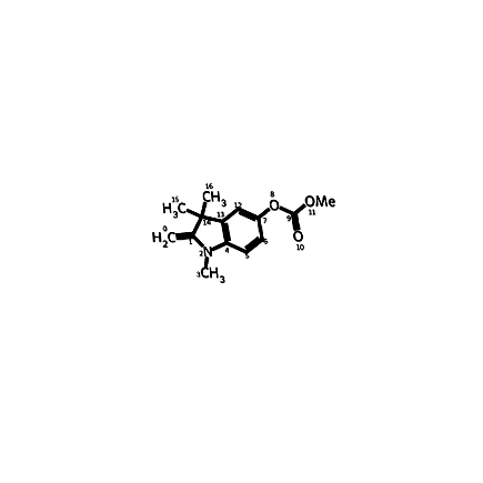 C=C1N(C)c2ccc(OC(=O)OC)cc2C1(C)C